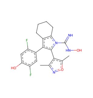 Cc1noc(C)c1-c1c(-c2cc(F)c(O)cc2F)c2c(n1C(=N)NO)CCCC2